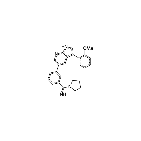 COc1ccccc1-c1c[nH]c2ncc(-c3cccc(C(=N)N4CCCC4)c3)cc12